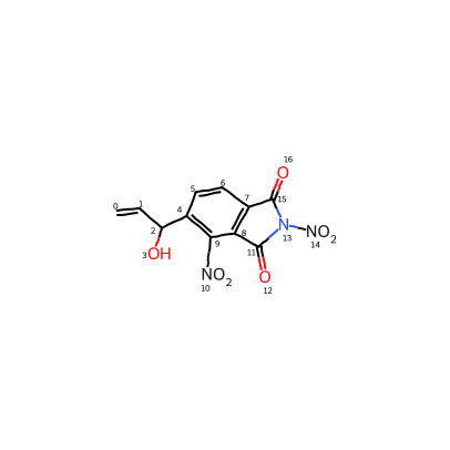 C=CC(O)c1ccc2c(c1[N+](=O)[O-])C(=O)N([N+](=O)[O-])C2=O